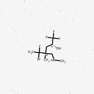 CNC[C@@](C)(C[C@@H](O)C(F)(F)F)C(C)(F)Br